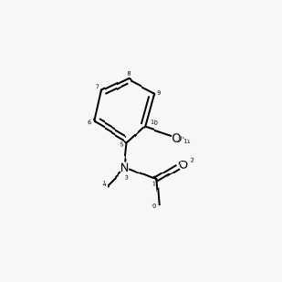 CC(=O)N(C)c1ccccc1[O]